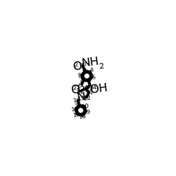 NC(=O)c1ccc2c(c1)C[C@@]1(CCN(Cc3ccccc3)C1=O)C2O